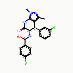 Cc1nn(C)c2c1[C@@H](c1cccc(Cl)c1)[C@@H](NC(O)c1ccc(Cl)cc1)C(=O)N2